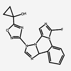 OC1(c2nc(N3C=NC4c5ccccc5-n5c(cnc5F)N43)no2)CC1